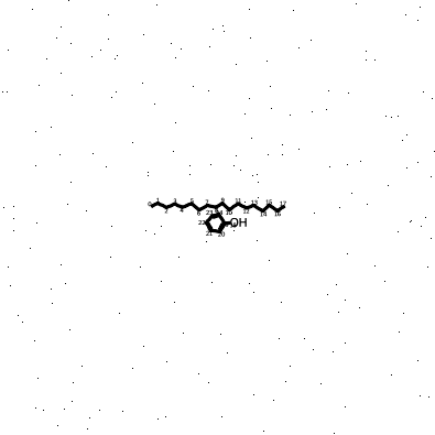 CCCCCCCCCCCCCCCCCC.Oc1ccccc1